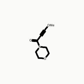 COC#CC(=O)N1CCOCC1